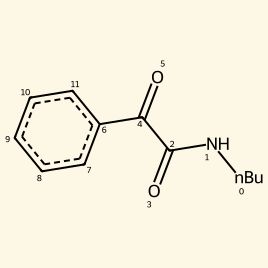 CCCCNC(=O)C(=O)c1ccccc1